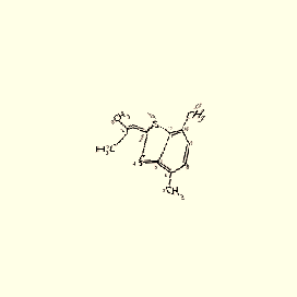 CC(C)=C1Sc2c(C)ccc(C)c2S1